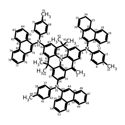 C=C1c2cc(N(c3ccc(C)cc3)c3cc4c(c5ccccc35)CCC=C4)cc3c2N2c4c1cc(N(c1ccc(C)cc1)c1cc5ccccc5c5ccccc15)cc4C(C)(C)c1cc(N(c4ccc(C)cc4)c4cc5ccccc5c5ccccc45)cc(c12)C3(C)C